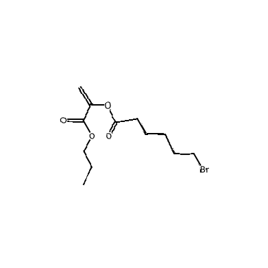 C=C(OC(=O)CCCCCBr)C(=O)OCCC